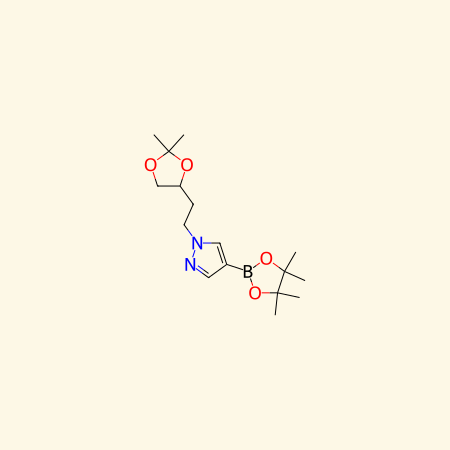 CC1(C)OCC(CCn2cc(B3OC(C)(C)C(C)(C)O3)cn2)O1